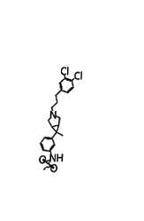 CC1(c2cccc(NS(C)(=O)=O)c2)C2CN(CCCc3ccc(Cl)c(Cl)c3)CC21